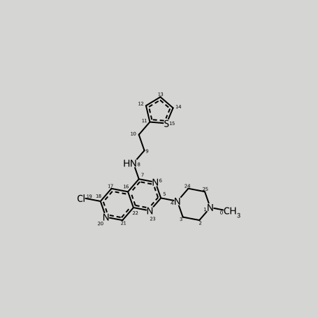 CN1CCN(c2nc(NCCc3cccs3)c3cc(Cl)ncc3n2)CC1